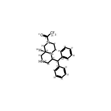 O=C(N1CCN2C(C(c3ccccc3)c3ccccc3)CNC[C@@H]2C1)C(F)(F)F